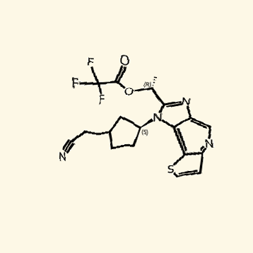 C[C@@H](OC(=O)C(F)(F)F)c1nc2cnc3ccsc3c2n1[C@H]1CCC(CC#N)C1